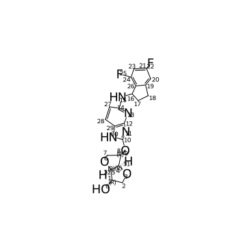 O[C@@H]1CO[C@H]2[C@@H]1OC[C@H]2Oc1nc2nc(NC3CCc4cc(F)cc(F)c43)ccc2[nH]1